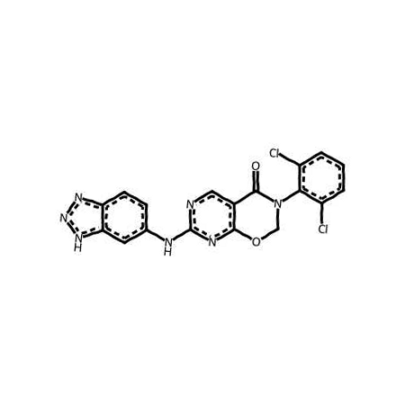 O=C1c2cnc(Nc3ccc4nn[nH]c4c3)nc2OCN1c1c(Cl)cccc1Cl